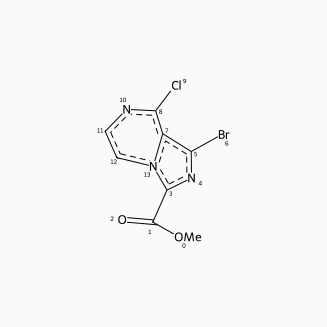 COC(=O)c1nc(Br)c2c(Cl)nccn12